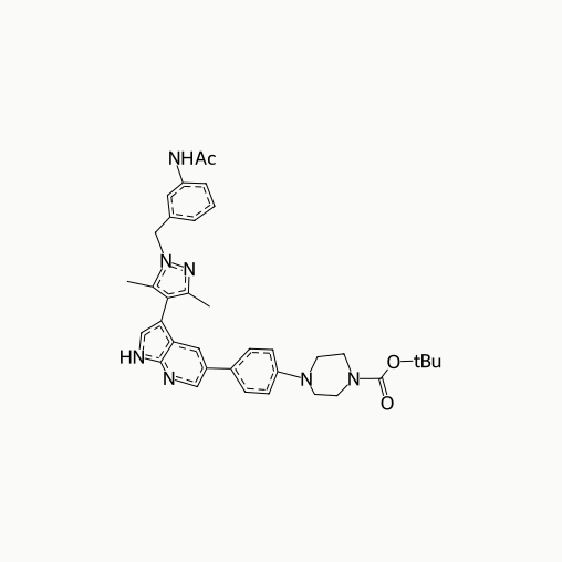 CC(=O)Nc1cccc(Cn2nc(C)c(-c3c[nH]c4ncc(-c5ccc(N6CCN(C(=O)OC(C)(C)C)CC6)cc5)cc34)c2C)c1